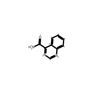 NC(=O)c1ncnc2ccccc12